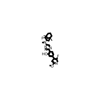 COc1cc(-c2ccc(-c3ncc(N(C)[C@@H]4C[C@@]5(C)CCC[C@](C)(C5)[C@@H]4F)nn3)c(O)c2)c(F)cn1